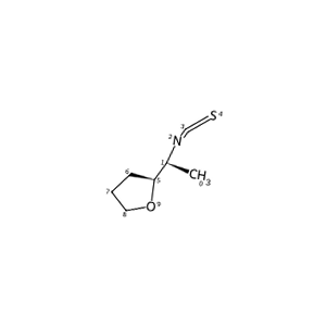 C[C@H](N=C=S)[C@@H]1CCCO1